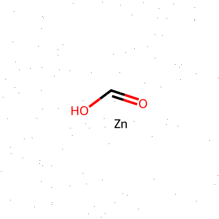 O=CO.[Zn]